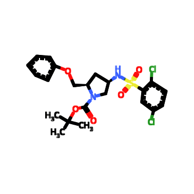 CC(C)(C)OC(=O)N1C[C@H](NS(=O)(=O)c2cc(Cl)ccc2Cl)C[C@@H]1COc1ccccc1